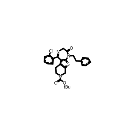 CC(C)(C)OC(=O)N1CCc2c(sc3c2C(c2ccccc2Cl)=NCC(=O)N3CCc2ccccc2)C1